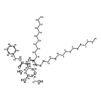 CCCCCCCCCCCCCCCCN(C(=O)CCCCCCCCCCC)[C@@H]1O[C@H](CO)[C@@H](O)[C@H](O)[C@H]1NC(=O)OCc1ccccc1